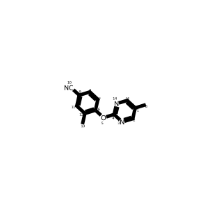 Cc1cnc(Oc2ccc(C#N)cc2C)nc1